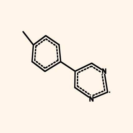 Cc1ccc(-c2cn[c]nc2)cc1